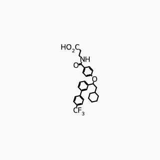 O=C(O)CCNC(=O)c1ccc(OC(CC2CCCCC2)c2cccc(-c3ccc(C(F)(F)F)cc3)c2)cc1